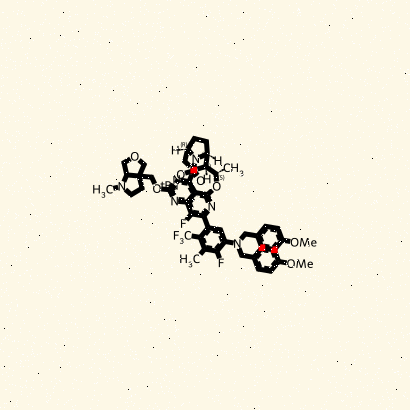 COc1ccc(CN(Cc2ccc(OC)cc2)c2cc(-c3nc4c5c(nc(OCC67CCN(C)C6COC7)nc5c3F)N3C[C@H]5CC[C@@H]([C@H]3[C@H](C)O4)N5C(=O)OC(C)(C)C)c(C(F)(F)F)c(C)c2F)cc1